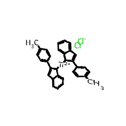 Cc1ccc(C2=Cc3ccccc3[CH]2[Ti+2][CH]2C(c3ccc(C)cc3)=Cc3ccccc32)cc1.[Cl-].[Cl-]